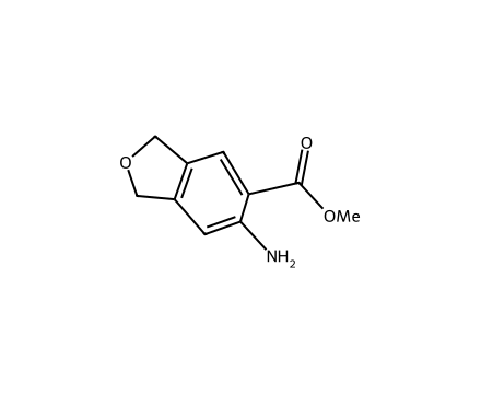 COC(=O)c1cc2c(cc1N)COC2